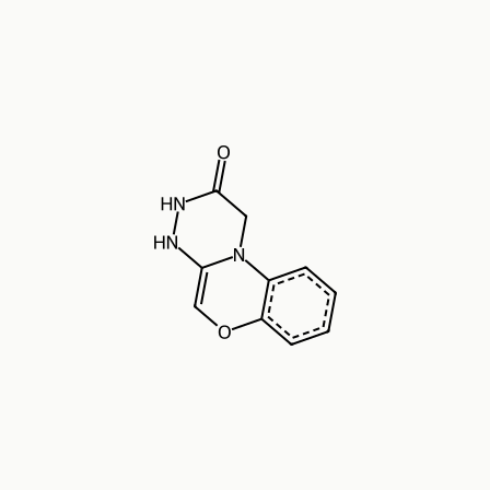 O=C1CN2C(=COc3ccccc32)NN1